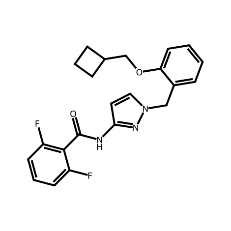 O=C(Nc1ccn(Cc2ccccc2OCC2CCC2)n1)c1c(F)cccc1F